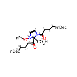 CCCCCCCCCCCCCC(=O)N1C=CN(OCCC)C1(C(=O)O)C(=O)CCCCCCCCCCCCC